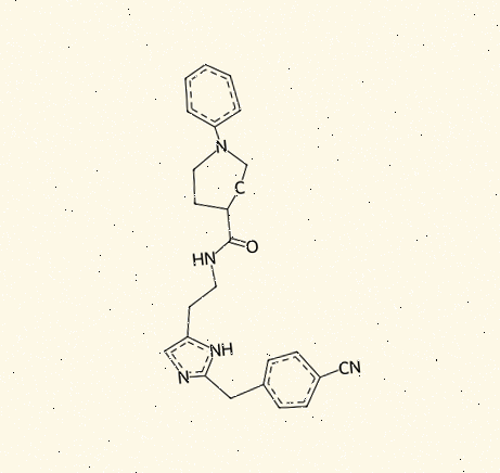 N#Cc1ccc(Cc2ncc(CCNC(=O)C3CCN(c4ccccc4)CC3)[nH]2)cc1